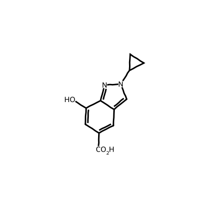 O=C(O)c1cc(O)c2nn(C3CC3)cc2c1